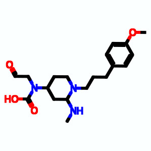 CNC1CC(N(CC=O)C(=O)O)CCN1CCCc1ccc(OC)cc1